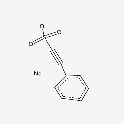 O=S(=O)([O-])C#Cc1ccccc1.[Na+]